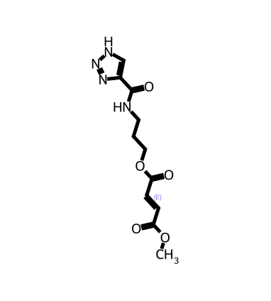 COC(=O)/C=C/C(=O)OCCCNC(=O)c1c[nH]nn1